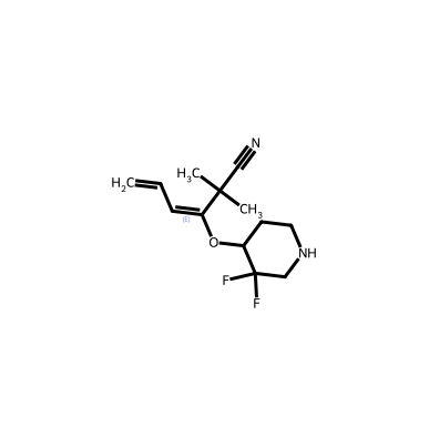 C=C/C=C(/OC1CCNCC1(F)F)C(C)(C)C#N